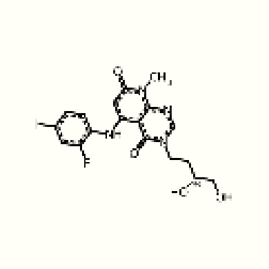 Cn1c(=O)cc(Nc2ccc(I)cc2F)c2c(=O)n(CC[C@@H](O)CO)cnc21